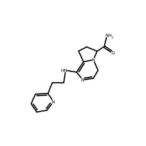 NC(=O)C1CCC2=C(NCCc3ccccn3)N=CCN21